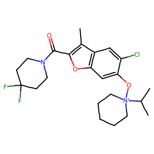 Cc1c(C(=O)N2CCC(F)(F)CC2)oc2cc(O[N+]3(C(C)C)CCCCC3)c(Cl)cc12